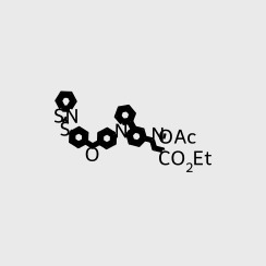 CCOC(=O)CCC(=NOC(C)=O)c1ccc2c(c1)c1ccccc1n2-c1ccc(C(=O)c2ccc(Sc3nc4ccccc4s3)cc2)cc1